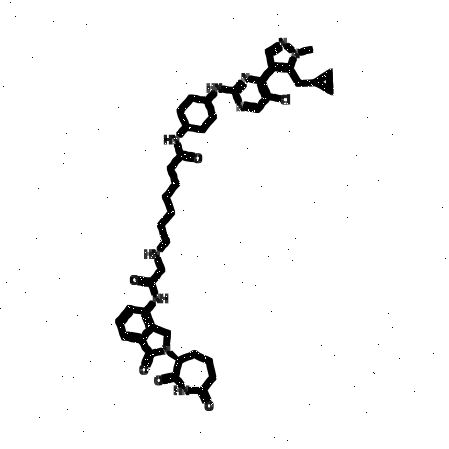 Cn1ncc(-c2nc(NC3CCC(NC(=O)CCCCCCNCC(=O)Nc4cccc5c4CN([C@H]4CCCC(=O)NC4=O)C5=O)CC3)ncc2Cl)c1CC1CC1